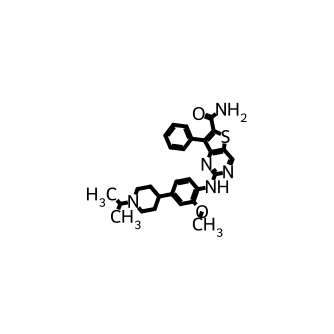 COc1cc(C2CCN(C(C)C)CC2)ccc1Nc1ncc2sc(C(N)=O)c(-c3ccccc3)c2n1